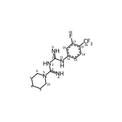 N=C(NC(=N)N1CCCCC1)Nc1ccc(C(F)(F)F)c(F)c1